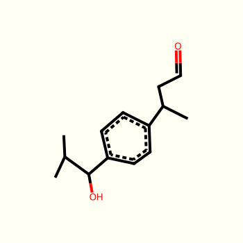 CC(CC=O)c1ccc(C(O)C(C)C)cc1